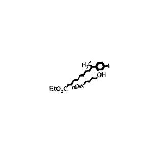 CCCCCCCCCCCCCCO.CCOC(=O)CCCCCCCCC(C)c1ccc(I)cc1